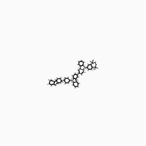 CC1(C)CCC(C)(C)c2cc(N3c4ccccc4C4C=C(c5ccc6c(c5)c5ccccc5n6-c5ccc(-c6ccc7c(c6)sc6ccccc67)cc5)C=CC43)ccc21